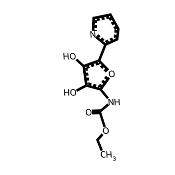 CCOC(=O)Nc1oc(-c2ccccn2)c(O)c1O